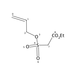 C=CCOS(=O)(=O)CC(=O)OCC